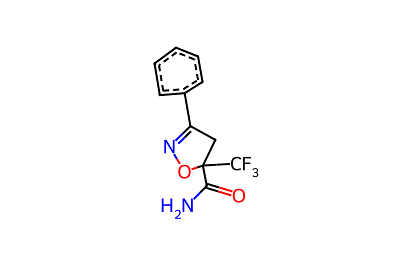 NC(=O)C1(C(F)(F)F)CC(c2ccccc2)=NO1